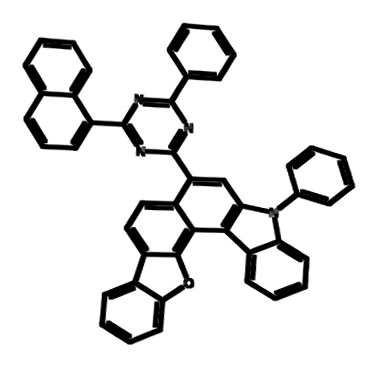 c1ccc(-c2nc(-c3cccc4ccccc34)nc(-c3cc4c(c5ccccc5n4-c4ccccc4)c4c3ccc3c5ccccc5oc34)n2)cc1